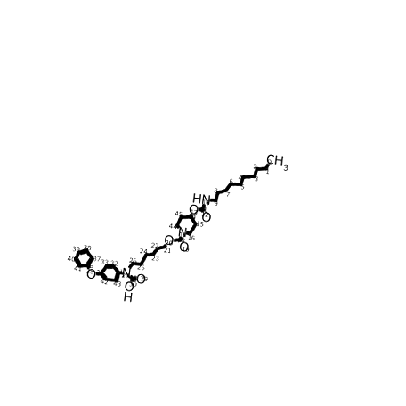 CCCCCCCCCCNC(=O)OC1CCN(C(=O)OCCCCCCN(C(=O)O)c2ccc(Oc3ccccc3)cc2)CC1